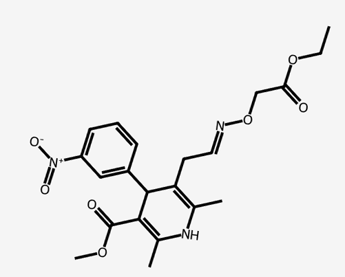 CCOC(=O)CON=CCC1=C(C)NC(C)=C(C(=O)OC)C1c1cccc([N+](=O)[O-])c1